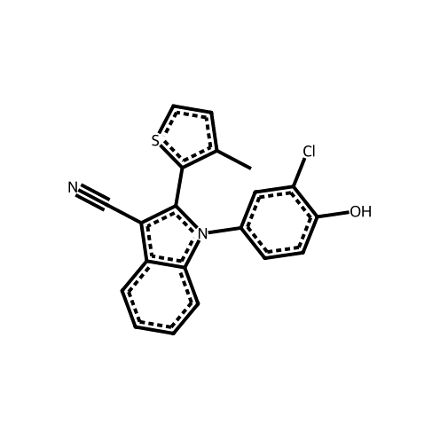 Cc1ccsc1-c1c(C#N)c2ccccc2n1-c1ccc(O)c(Cl)c1